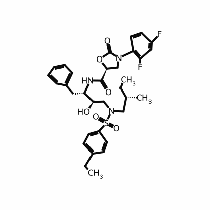 CCc1ccc(S(=O)(=O)N(C[C@@H](C)CC)C[C@@H](O)[C@H](Cc2ccccc2)NC(=O)[C@@H]2CN(c3ccc(F)cc3F)C(=O)O2)cc1